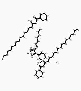 CCCCCCCCCCCCCCCC(Cl)OC(=O)C1CCCCC1.CCCCCCCCCCCCCCCC(OC(=O)C1CCCCC1)[N+]1(C)CCC=C(c2nsnc2OCCCCCC)C1.[I-]